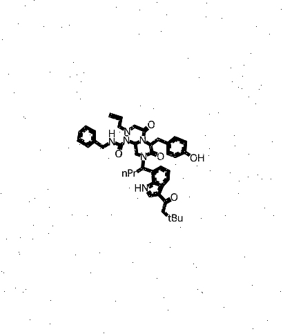 C=CCN1CC(=O)N2C(Cc3ccc(O)cc3)C(=O)N(C(CCC)c3cccc4c(C(=O)CC(C)(C)C)c[nH]c34)CC2N1C(=O)NCc1ccccc1